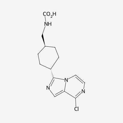 O=C(O)NC[C@H]1CC[C@H](c2ncc3c(Cl)nccn32)CC1